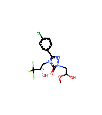 COC(O)Cn1nc(-c2ccc(Cl)cc2)n(C[C@H](O)C(F)(F)F)c1=O